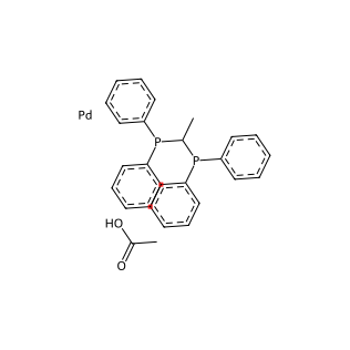 CC(=O)O.CC(P(c1ccccc1)c1ccccc1)P(c1ccccc1)c1ccccc1.[Pd]